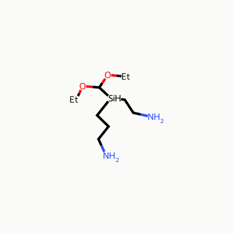 CCOC(OCC)[SiH](CCN)CCCN